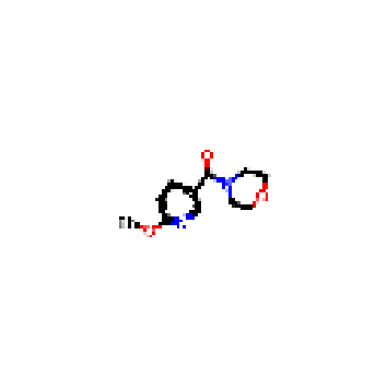 CCOc1ccc(C(=O)N2CCOCC2)cn1